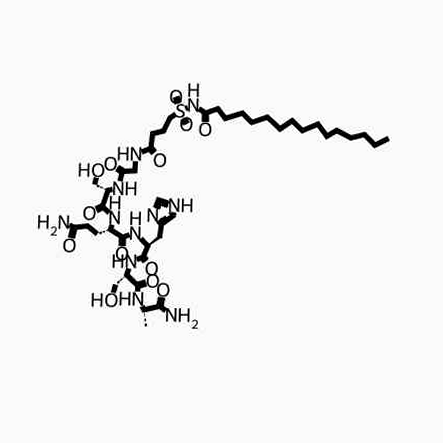 CCCCCCCCCCCCCCCC(=O)NS(=O)(=O)CCCC(=O)NCC(=O)N[C@@H](CO)C(=O)N[C@@H](CCC(N)=O)C(=O)N[C@@H](Cc1c[nH]cn1)C(=O)N[C@@H](CO)C(=O)N[C@@H](C)C(N)=O